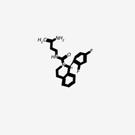 C=C(N)CCNC(=O)N1CCc2ccccc2[C@@H]1c1ccc(F)cc1F